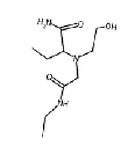 CCNC(=O)CN(CCO)C(CC)C(N)=O